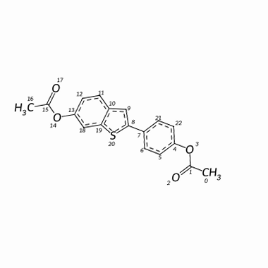 CC(=O)Oc1ccc(-c2cc3ccc(OC(C)=O)cc3s2)cc1